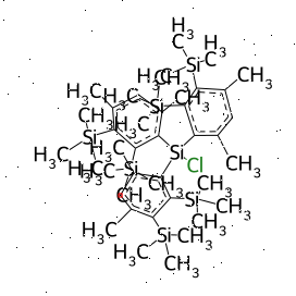 Cc1cc(C)c([Si](Cl)(c2c(C)cc(C)c([Si](C)(C)C)c2[Si](C)(C)C)c2c(C)cc(C)c([Si](C)(C)C)c2[Si](C)(C)C)c([Si](C)(C)C)c1[Si](C)(C)C